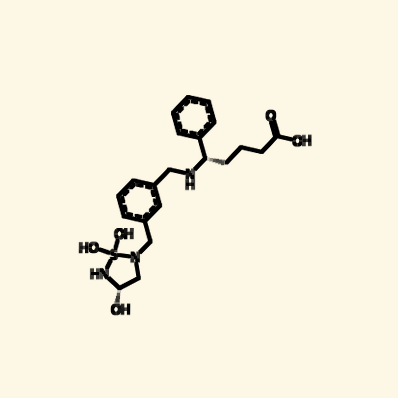 O=C(O)CCC[C@H](NCc1cccc(CN2C[C@H](O)NS2(O)O)c1)c1ccccc1